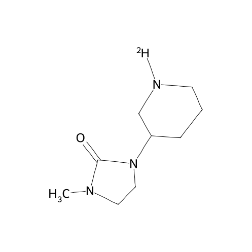 [2H]N1CCCC(N2CCN(C)C2=O)C1